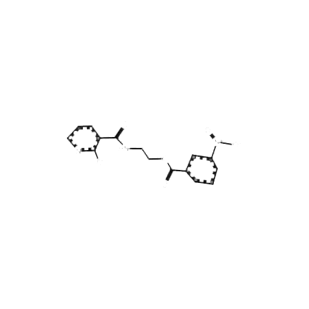 O=C(OCCNC(=O)c1cccnc1Cl)c1cccc([N+](=O)[O-])c1